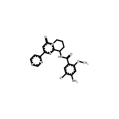 COc1cc(N)c(Cl)cc1C(=O)NC1CCCn2c1nc(-c1ccncn1)cc2=O